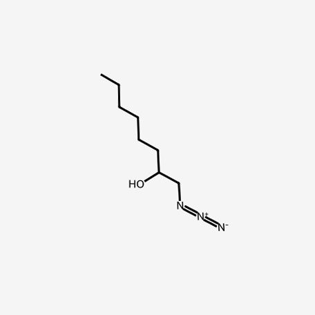 CCCCCCC(O)CN=[N+]=[N-]